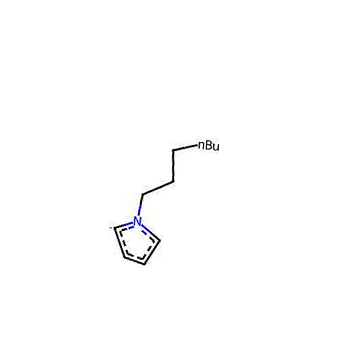 CCCCCCCn1[c]ccc1